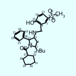 CCCCC1CC(NCc2cc(S(C)(=O)=O)ccc2O)C(c2ccccc2)N1C(=O)C1CCCCC1